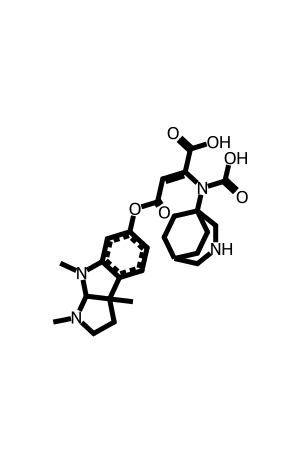 CN1CCC2(C)c3ccc(OC(=O)/C=C(/C(=O)O)N(C(=O)O)C45CCC(CC4)CNC5)cc3N(C)C12